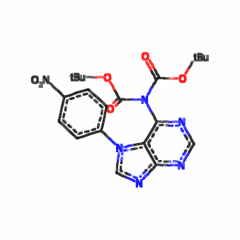 CC(C)(C)OC(=O)N(C(=O)OC(C)(C)C)c1ncnc2ncn(-c3ccc([N+](=O)[O-])cc3)c12